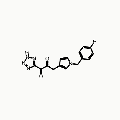 O=C(Cc1ccn(Cc2ccc(F)cc2)c1)C(=O)c1nn[nH]n1